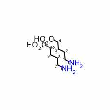 NCCCCC(=O)O.NCCCCC(=O)O